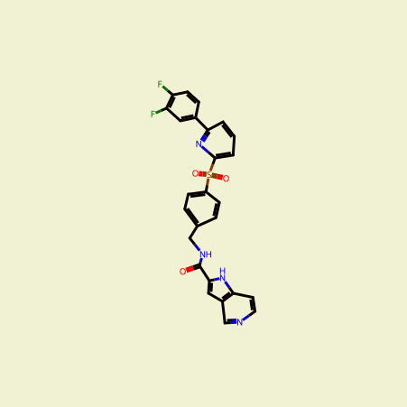 O=C(NCc1ccc(S(=O)(=O)c2cccc(-c3ccc(F)c(F)c3)n2)cc1)c1cc2cnccc2[nH]1